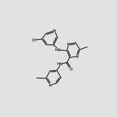 Cc1cc(NC(=O)c2nc(C)cnc2Nc2cncc(Cl)c2)ccn1